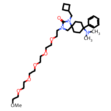 COCCOCCOCCOCCOCCOCCN1CC2(CCC(c3ccccc3)(N(C)C)CC2)N(CC2CCC2)C1=O